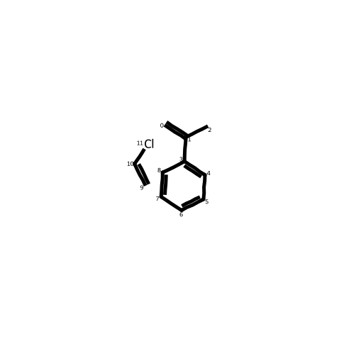 C=C(C)c1ccccc1.C=CCl